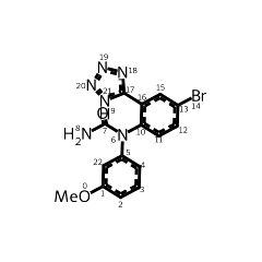 COc1cccc(N(C(N)=O)c2ccc(Br)cc2-c2nnn[nH]2)c1